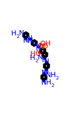 Nc1ccc(N=Nc2ccc(N=Nc3ccc4cc(S(=O)(=O)O)c(N=Nc5ccc(N=Nc6ccc(N)cc6N)cc5)c(O)c4c3N)cc2)c(N)c1